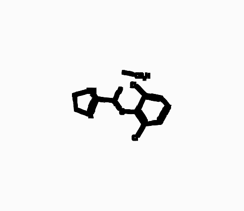 CC(=O)O.CC(Oc1c(Cl)cccc1Cl)C1=NCCN1